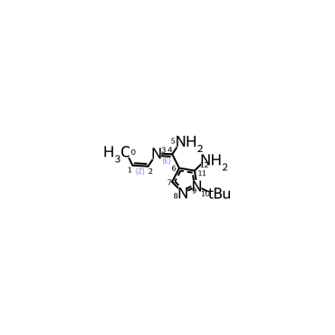 C/C=C\N=C(\N)c1cnn(C(C)(C)C)c1N